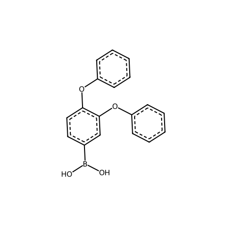 OB(O)c1ccc(Oc2ccccc2)c(Oc2ccccc2)c1